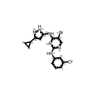 Clc1cccc(Nc2ncc(Br)c(Nc3cc(C4CC4)n[nH]3)n2)c1